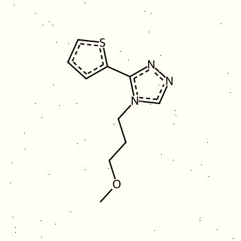 COCCCn1cnnc1-c1cccs1